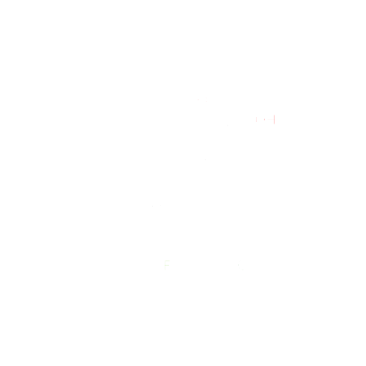 CC(C)c1cc(C(=O)O)cc(Cl)c1F